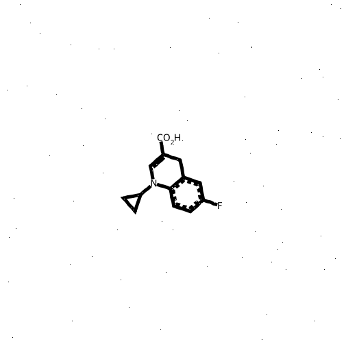 O=C(O)C1=CN(C2CC2)c2ccc(F)cc2C1